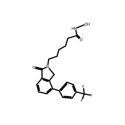 O=C(CCCCCN1Cc2c(cccc2-c2ccc(C(F)(F)F)cc2)C1=O)NO